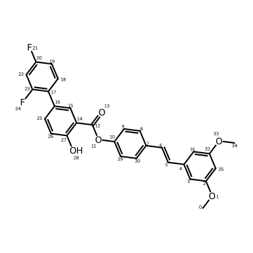 COc1cc(/C=C/c2ccc(OC(=O)c3cc(-c4ccc(F)cc4F)ccc3O)cc2)cc(OC)c1